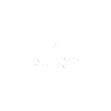 O=C(O)CCCC(=O)N[C@@H](Cc1ccccc1)C(=O)NCCCCNC1=NCCN1